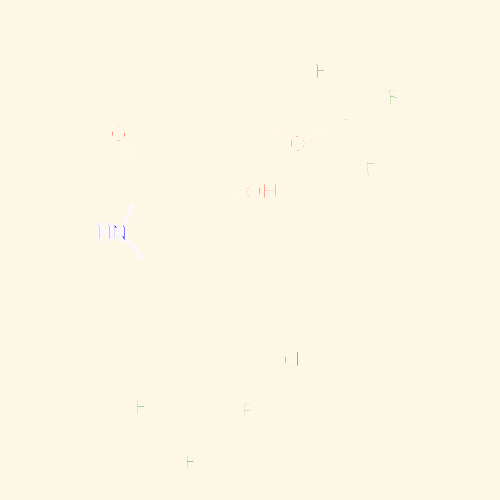 O=C1Nc2cc(C(F)(F)F)c(Cl)cc2C1(O)c1ccccc1OC(F)(F)F